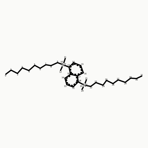 CCCCCCCCCC[N+](C)(C)c1cccc2c([N+](C)(C)CCCCCCCCCC)cccc12